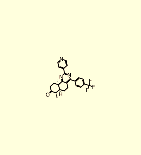 C[C@H]1C(=O)CC[C@@]2(C)c3nc(-c4ccncc4)nc(-c4ccc(C(F)(F)F)cc4)c3CC[C@H]12